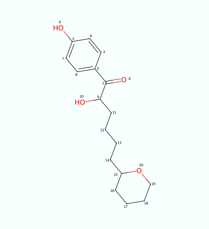 O=C(c1ccc(O)cc1)C(O)CCCCC1CCCCO1